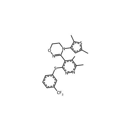 Cc1cc(N2CCON=C2c2c(Sc3cccc(C(F)(F)F)c3)nnc(C)c2C)c(C)s1